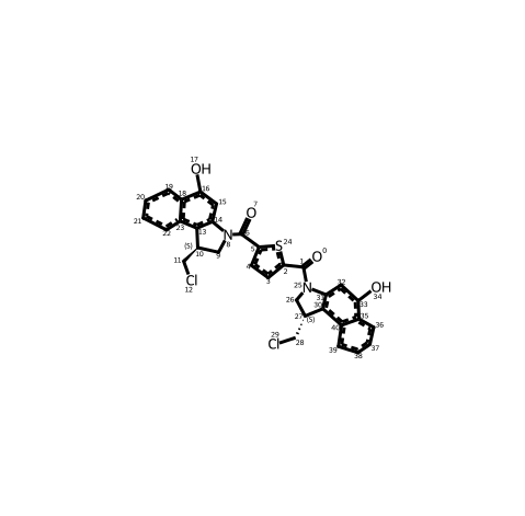 O=C(c1ccc(C(=O)N2C[C@@H](CCl)c3c2cc(O)c2ccccc32)s1)N1C[C@@H](CCl)c2c1cc(O)c1ccccc21